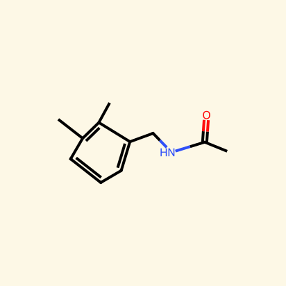 CC(=O)NCc1cccc(C)c1C